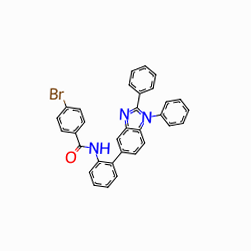 O=C(Nc1ccccc1-c1ccc2c(c1)nc(-c1ccccc1)n2-c1ccccc1)c1ccc(Br)cc1